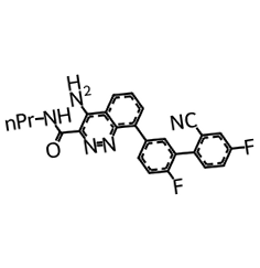 CCCNC(=O)c1nnc2c(-c3ccc(F)c(-c4ccc(F)cc4C#N)c3)cccc2c1N